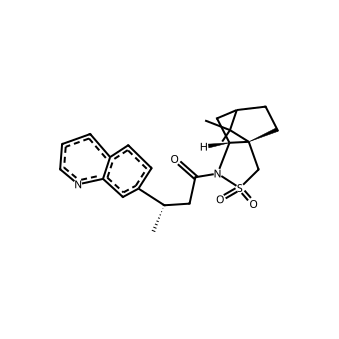 C[C@@H](CC(=O)N1[C@@H]2CC3CC[C@]2(CS1(=O)=O)C3(C)C)c1ccc2cccnc2c1